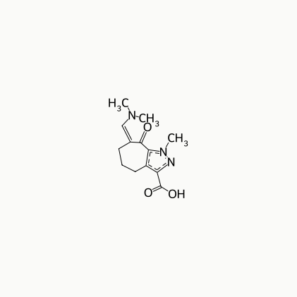 CN(C)C=C1CCCc2c(C(=O)O)nn(C)c2C1=O